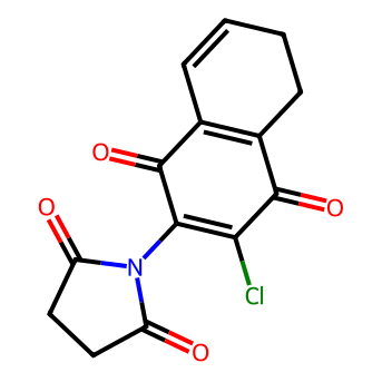 O=C1C(Cl)=C(N2C(=O)CCC2=O)C(=O)C2=C1CCC=C2